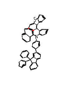 c1ccc(C2(c3ccccc3)c3ccccc3-c3ccc(-c4ccc(N(c5ccccc5-c5cccc6sc7ccccc7c56)c5cccc6ccccc56)cc4)cc32)cc1